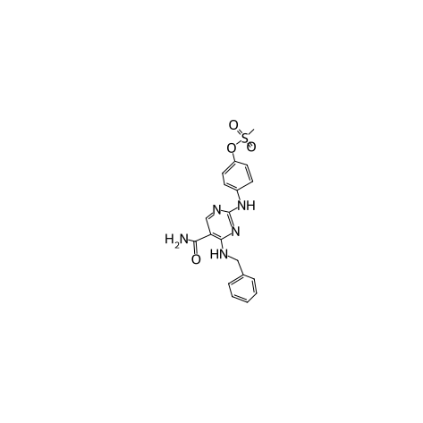 CS(=O)(=O)Oc1ccc(Nc2ncc(C(N)=O)c(NCc3ccccc3)n2)cc1